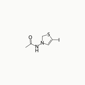 CC(=O)NN1C=C(I)SC1